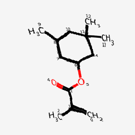 C=C(C)C(=O)OC1CC(C)CC(C)(C)C1